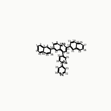 c1ccc2cc(-c3ccc4nc(-c5ccc6ccccc6c5)cc(-c5ccc(-c6ccncc6)nc5)c4c3)ccc2c1